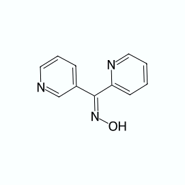 O/N=C(/c1cccnc1)c1ccccn1